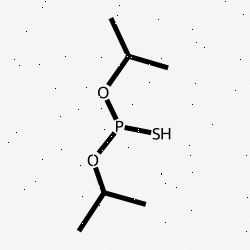 CC(C)OP(S)OC(C)C